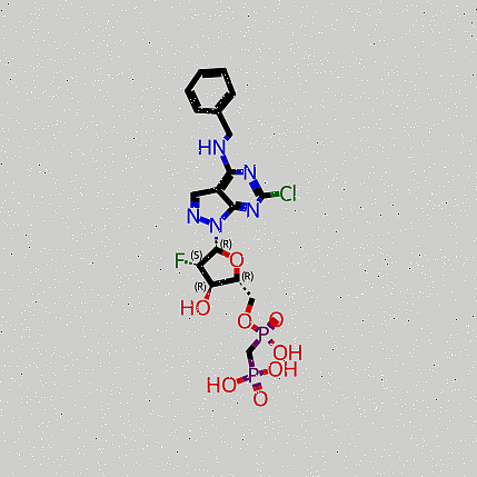 O=P(O)(O)CP(=O)(O)OC[C@H]1O[C@@H](n2ncc3c(NCc4ccccc4)nc(Cl)nc32)[C@@H](F)[C@@H]1O